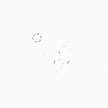 CCC1OCC(=O)C1NC(=O)[C@H](CC(C)(C)CCc1ccccc1)NC(=O)ON1CCOCC1